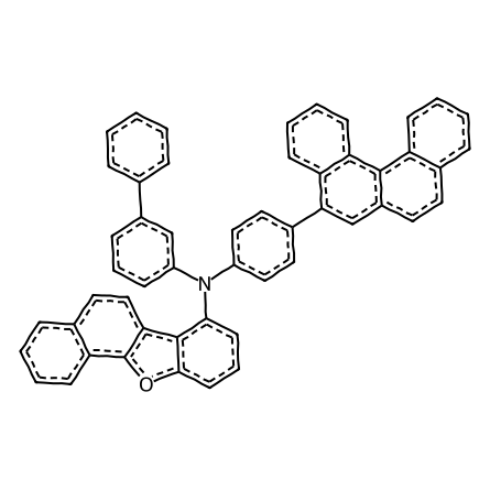 c1ccc(-c2cccc(N(c3ccc(-c4cc5ccc6ccccc6c5c5ccccc45)cc3)c3cccc4oc5c6ccccc6ccc5c34)c2)cc1